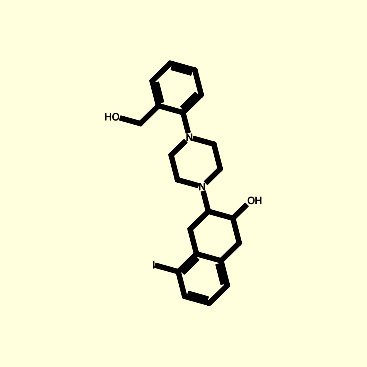 OCc1ccccc1N1CCN(C2Cc3c(I)cccc3CC2O)CC1